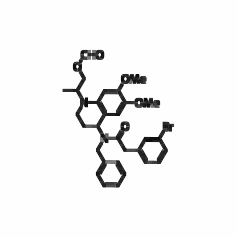 COc1cc2c(cc1OC)N(C(C)COC=O)CCC2N(Cc1ccccc1)C(=O)Cc1cccc(Br)c1